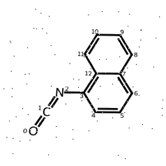 O=C=Nc1cccc2ccc[c]c12